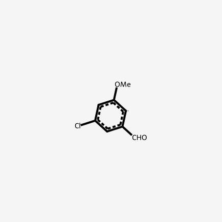 COc1[c]c(C=O)cc(Cl)c1